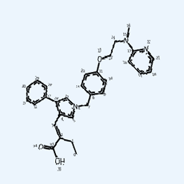 CCC(=Cc1cn(Cc2ccc(OCCN(C)c3ccccn3)cc2)cc1-c1ccccc1)C(=O)O